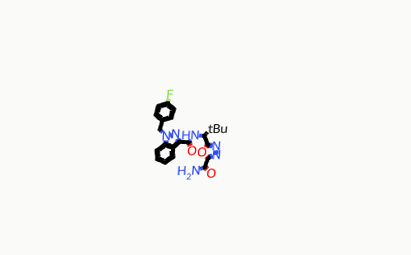 CC(C)(C)C(NC(=O)c1nn(Cc2ccc(F)cc2)c2ccccc12)c1nnc(C(N)=O)o1